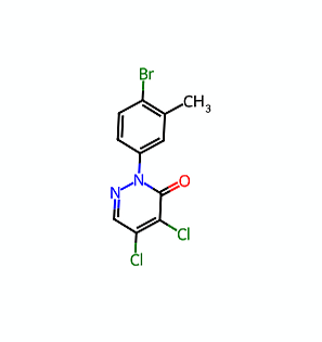 Cc1cc(-n2ncc(Cl)c(Cl)c2=O)ccc1Br